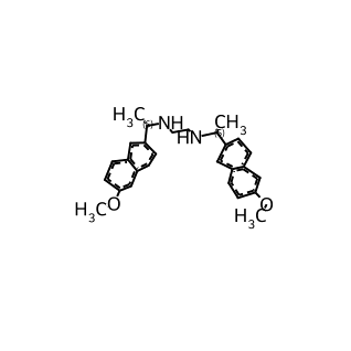 COc1ccc2cc([C@H](C)NCCN[C@@H](C)c3ccc4cc(OC)ccc4c3)ccc2c1